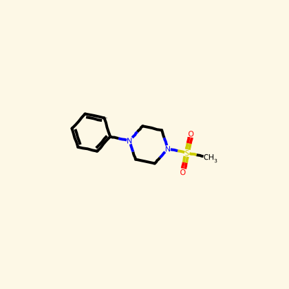 CS(=O)(=O)N1CCN(c2[c]cccc2)CC1